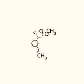 C/C=C/c1cccc(C(CC(=O)OC)C2CC2)c1